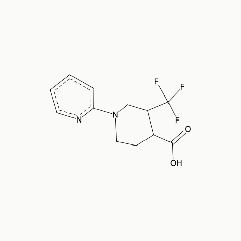 O=C(O)C1CCN(c2ccccn2)CC1C(F)(F)F